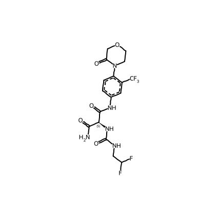 NC(=O)[C@H](NC(=O)NCC(F)F)C(=O)Nc1ccc(N2CCOCC2=O)c(C(F)(F)F)c1